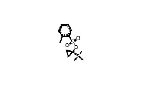 Cc1ccccc1S(=O)(=O)OC1([Si](C)(C)C)CC1